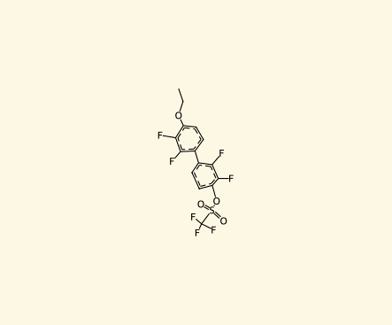 CCOc1ccc(-c2ccc(OS(=O)(=O)C(F)(F)F)c(F)c2F)c(F)c1F